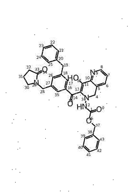 O=C(NN1Cc2cccnc2C(O)=C1C(=O)c1cc(Cc2ccccc2)cc(CN2CCCC2=O)c1)OCc1ccccc1